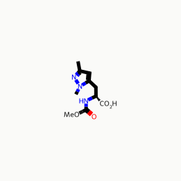 COC(=O)N[C@@H](Cc1cc(C)nn1C)C(=O)O